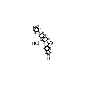 Cl.O=C(c1ccc2c(c1)CNC2)N1CCC2(CC1)CCN(c1ccncc1)CC2